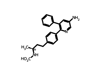 C[C@@H](CCc1ccc(-c2ncc(N)cc2-c2ccccc2)cc1)NC(=O)O